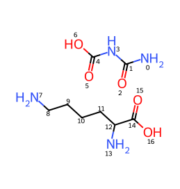 NC(=O)NC(=O)O.NCCCCC(N)C(=O)O